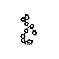 c1ccc(-c2cccc(N(c3ccc(-c4ccc5ccc6oc7ncccc7c6c5c4)cc3)c3ccc(-c4cccc5ccccc45)cc3)c2)cc1